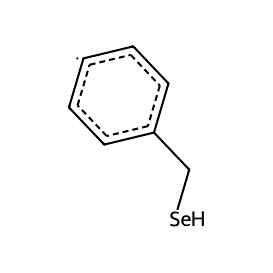 [SeH]Cc1cc[c]cc1